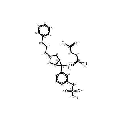 CC1(c2cccc(NS(C)(=O)=O)c2)C2CN(CCCc3ccccc3)CC21.O=C(O)CCC(=O)O